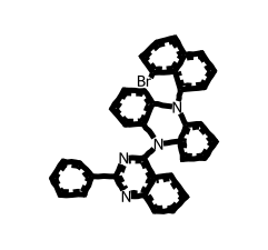 Brc1cccc2cccc(N3c4ccccc4N(c4nc(-c5ccccc5)nc5ccccc45)c4ccccc43)c12